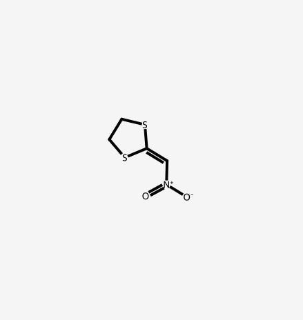 O=[N+]([O-])C=C1SCCS1